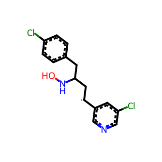 ONC(C[CH]c1cncc(Cl)c1)Cc1ccc(Cl)cc1